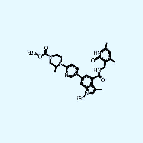 Cc1cc(C)c(CNC(=O)c2cc(-c3ccc(N4CCN(C(=O)OC(C)(C)C)CC4C)nc3)cc3c2c(C)cn3C(C)C)c(=O)[nH]1